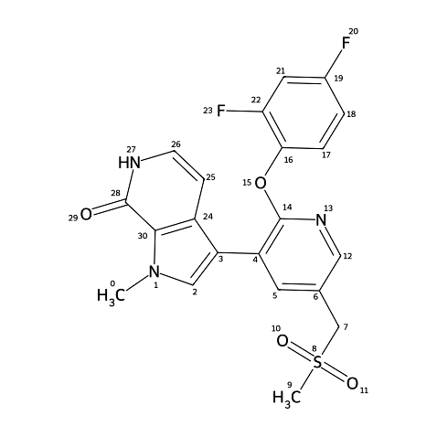 Cn1cc(-c2cc(CS(C)(=O)=O)cnc2Oc2ccc(F)cc2F)c2cc[nH]c(=O)c21